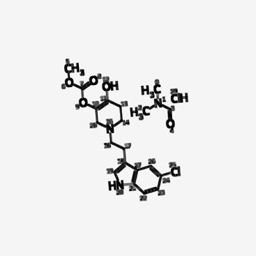 CN(C)C=O.COC(=O)OC1=C(O)CCN(CCc2c[nH]c3ccc(Cl)cc23)C1.Cl